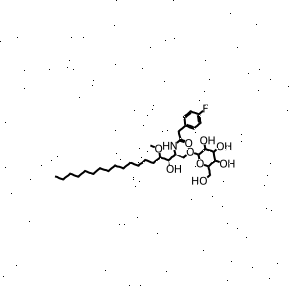 CCCCCCCCCCCCCCC(OC)[C@@H](O)[C@H](COC1OC(CO)C(O)C(O)C1O)NC(=O)Cc1ccc(F)cc1